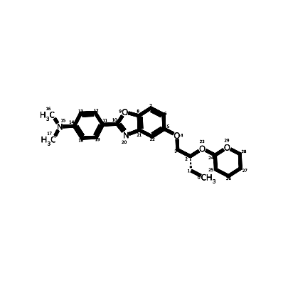 CC[C@H](COc1ccc2oc(-c3ccc(N(C)C)cc3)nc2c1)OC1CCCCO1